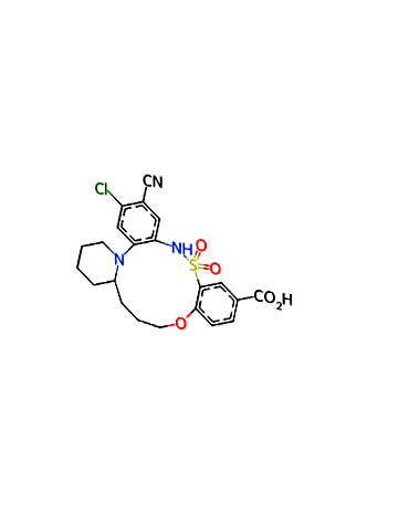 N#Cc1cc2c(cc1Cl)N1CCCCC1CCCOc1ccc(C(=O)O)cc1S(=O)(=O)N2